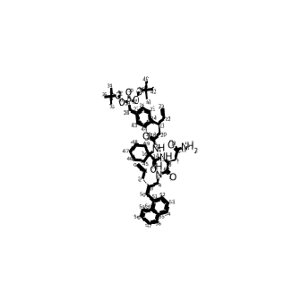 C=CC[C@H](CNC(=O)[C@H](CC(N)=O)NC(=O)C1(NC(=O)C[C@H](C=C)c2ccc(CP(=O)(OOC(C)(C)C)OOC(C)(C)C)cc2)CCCCC1)Cc1cccc2ccccc12